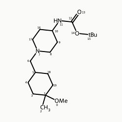 COC1(C)CCC(CN2CCC(NC(=O)OC(C)(C)C)CC2)CC1